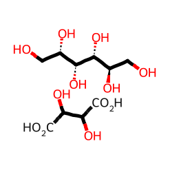 O=C(O)C(O)C(O)C(=O)O.OC[C@@H](O)[C@@H](O)[C@H](O)[C@@H](O)CO